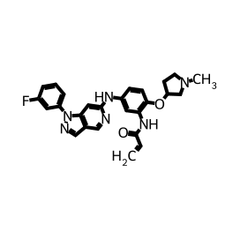 C=CC(=O)Nc1cc(Nc2cc3c(cn2)cnn3-c2cccc(F)c2)ccc1OC1CCN(C)C1